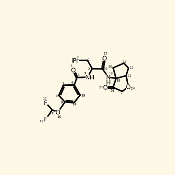 CC(C)CC(NC(=O)c1ccc(OC(F)F)cc1)C(=O)NC12CCCC1OCC2=O